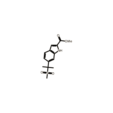 COC(=O)c1cc2ccc(C(C)(C)S(C)(=O)=O)cc2[nH]1